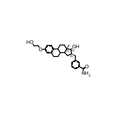 C[C@]12CCC3c4ccc(OCCO)cc4CCC3C1C[C@H](Cc1cccc(C(N)=O)c1)[C@@H]2O